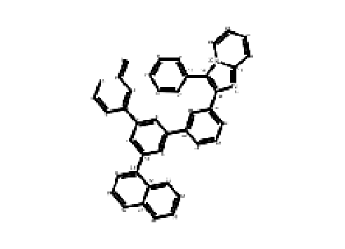 C=C/C=C(\C=C/C)c1cc(-c2cccc(-c3nc4ccccn4c3-c3ccccc3)c2)cc(-c2cccc3ccccc23)c1